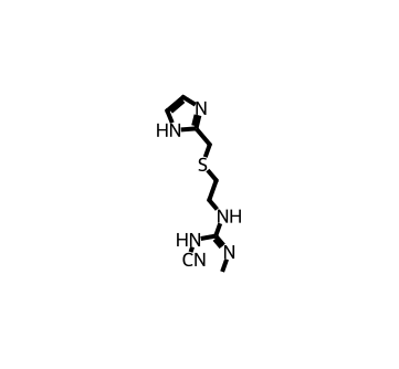 C/N=C(\NC#N)NCCSCc1ncc[nH]1